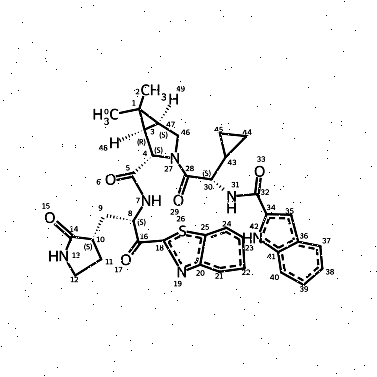 CC1(C)[C@@H]2[C@@H](C(=O)N[C@@H](C[C@@H]3CCNC3=O)C(=O)c3nc4ccccc4s3)N(C(=O)[C@@H](NC(=O)c3cc4ccccc4[nH]3)C3CC3)C[C@@H]21